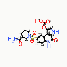 NC(=O)C1CCCN(S(=O)(=O)c2ccc3[nH]c(=O)c4[nH]cc(OC(=O)O)c4c3c2)C1